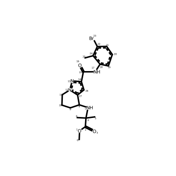 COC(=O)C(C)(C)NC1CCCn2nc(C(=O)Nc3cccc(Br)c3C)cc21